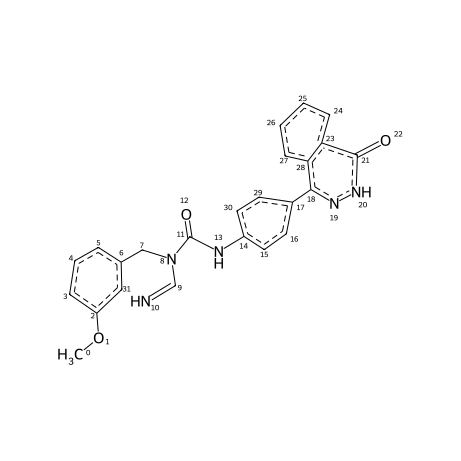 COc1cccc(CN(C=N)C(=O)Nc2ccc(-c3n[nH]c(=O)c4ccccc34)cc2)c1